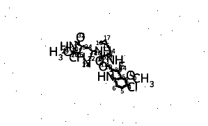 COc1c(Cl)ccc2[nH]c(C(=O)NC(CC3CC3)C(=O)NC(C#N)CC3CC(C)(C)NC3=O)c(F)c12